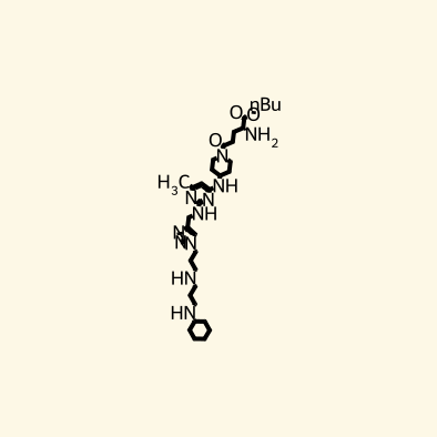 CCCCOC(=O)[C@@H](N)CCC(=O)N1CCC(Nc2cc(C)nc(NCc3cn(CCCNCCCNC4CCCCC4)nn3)n2)CC1